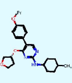 CC1CCC(Nc2ncc(-c3ccc(OC(C)C)cc3)c(O[C@@H]3CCOC3)n2)CC1